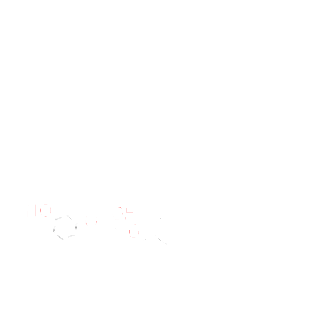 CCCCCCCCCCCCCCCCCCC(CC)COCC(O)COc1cccc(O)c1